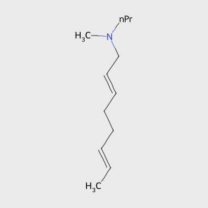 CC=CCCC=CCN(C)CCC